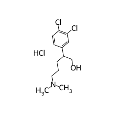 CN(C)CCCC(CO)c1ccc(Cl)c(Cl)c1.Cl